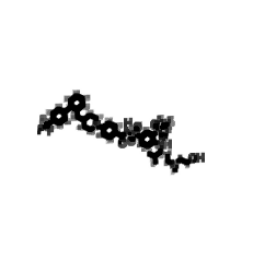 CC(C)[C@@H](CCN(C)CCO)Nc1ccc(S(=O)(=O)NC(=O)c2ccc(N3CCC(Cc4ccccc4-c4ccc(C(F)(F)F)cc4)CC3)cc2)cc1S(=O)(=O)C(F)(F)F